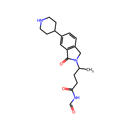 CC(CCC(=O)NC=O)N1Cc2ccc(C3CCNCC3)cc2C1=O